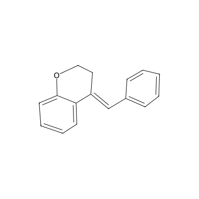 C(=C1CCOc2ccccc21)c1ccccc1